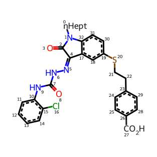 CCCCCCCN1C(=O)/C(=N\NC(=O)Nc2ccccc2Cl)c2cc(SCCc3ccc(C(=O)O)cc3)ccc21